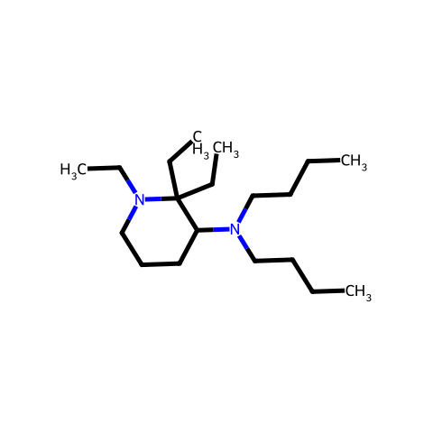 CCCCN(CCCC)C1CCCN(CC)C1(CC)CC